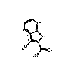 CC(C)(C)C(=O)c1sc2ncccc2c1O